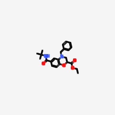 CCOC(=O)C1CN(Cc2ccccc2)c2cc(C(=O)NC(C)(C)C)ccc2O1